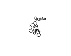 COC(=O)c1ccc2c(c1)CC(C)(C)C(c1ccccc1NS(=O)(=O)c1ccccc1F)N2